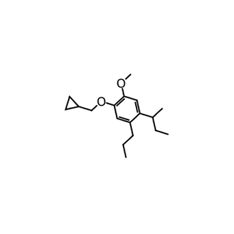 CCCc1cc(OCC2CC2)c(OC)cc1C(C)CC